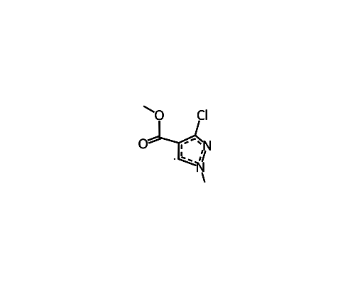 COC(=O)c1[c]n(C)nc1Cl